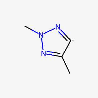 Cc1[c]nn(C)n1